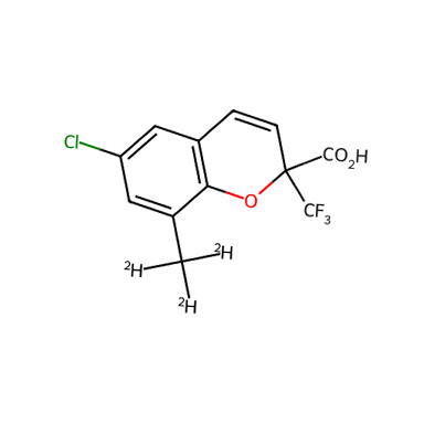 [2H]C([2H])([2H])c1cc(Cl)cc2c1OC(C(=O)O)(C(F)(F)F)C=C2